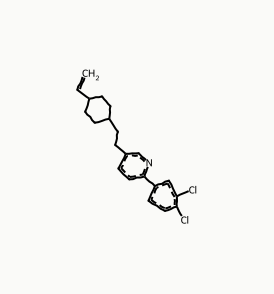 C=CC1CCC(CCc2ccc(-c3ccc(Cl)c(Cl)c3)nc2)CC1